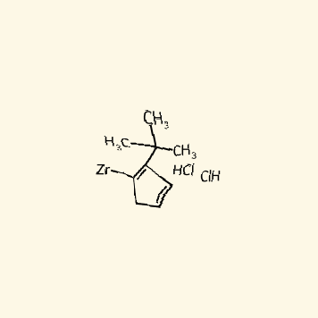 CC(C)(C)C1=[C]([Zr])CC=C1.Cl.Cl